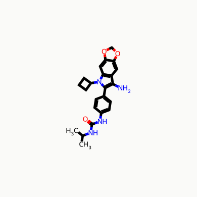 CC(C)NC(=O)Nc1ccc(-c2c(N)c3cc4c(cc3n2C2CCC2)OCO4)cc1